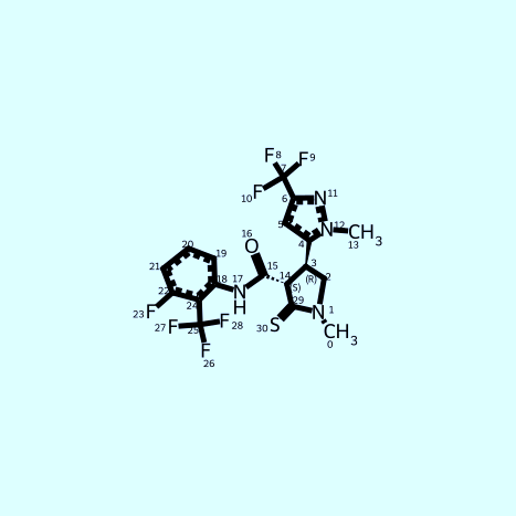 CN1C[C@H](c2cc(C(F)(F)F)nn2C)[C@@H](C(=O)Nc2cccc(F)c2C(F)(F)F)C1=S